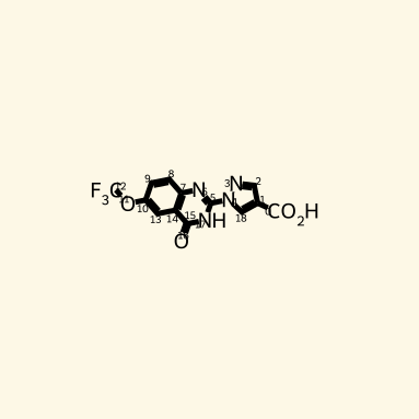 O=C(O)c1cnn(-c2nc3ccc(OC(F)(F)F)cc3c(=O)[nH]2)c1